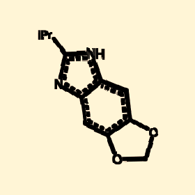 CC(C)c1nc2cc3c(cc2[nH]1)OCO3